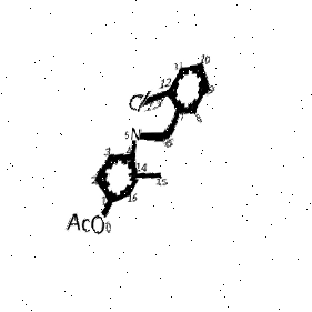 CC(=O)Oc1ccc(/N=C/c2ccccc2Cl)c(C)c1